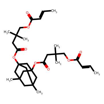 CC=CC(=O)OCC(C)(C)CC(=O)OC12CC3(C)CC(C)(C1)CC(OC(=O)CC(C)(C)COC(=O)C=CC)(C3)C2